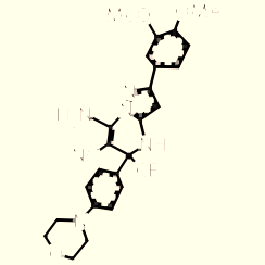 COc1ccc(-c2cc3n(n2)C(N)=C(C#N)C(c2ccc(N4CCOCC4)cc2)(C(F)(F)F)N3)cc1OC